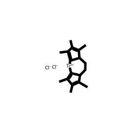 CC1=C(C)C2CCC3C(C)=C(C)C(C)=[C]3[Ti+2][C]2=C1C.[Cl-].[Cl-]